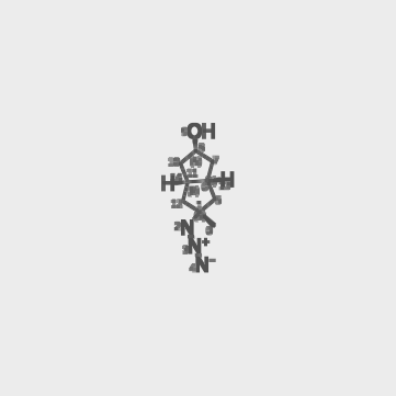 C[C@]1(N=[N+]=[N-])C[C@H]2C[C@H](O)C[C@H]2C1